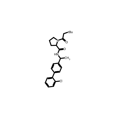 CC(NC(=O)C1CCCN1C(=O)CC(C)(C)C)c1ccc(-c2ccccc2Cl)cc1